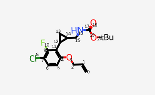 C=CCOc1ccc(Cl)c(F)c1C1CC1CNC(=O)OC(C)(C)C